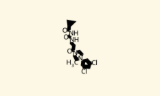 C[C@H]1CN(C(=O)CCNC(=O)NC(=O)C2CC2)CCN1c1cc(Cl)cc(Cl)c1